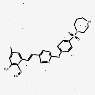 N=Nc1c(N)cc(Cl)cc1/C=C/c1cnc(Nc2ccc(S(=O)(=O)N3CCCNCC3)cc2)nc1